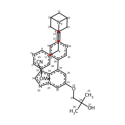 COc1cncc(CC#CN2C3CC2CN(c2ccc(-c4cc(OCC(C)(C)O)cn5ncc(C#N)c45)cn2)C3)c1